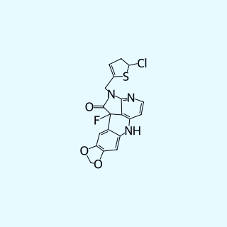 O=C1N(CC2=CCC(Cl)S2)c2nccc3c2C1(F)c1cc2c(cc1N3)OCO2